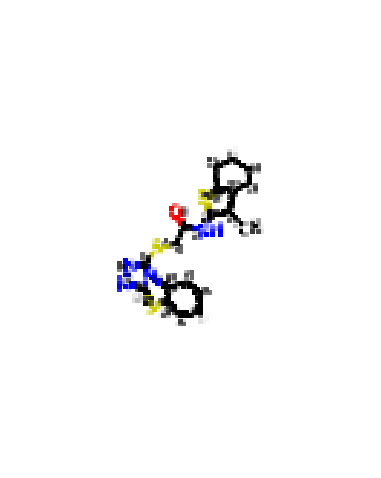 N#Cc1c(NC(=O)CSc2nnc3sc4ccccc4n23)sc2c1CCCC2